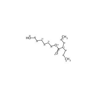 CCCC(CCC)C(=O)OCCCCCCO